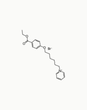 CCOC(=O)c1ccc(OCCCCCC[n+]2ccccc2)cc1.[Br-]